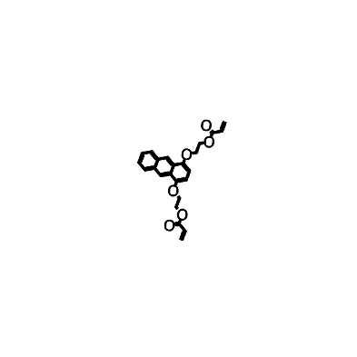 C=CC(=O)OCCOc1ccc(OCCOC(=O)C=C)c2cc3ccccc3cc12